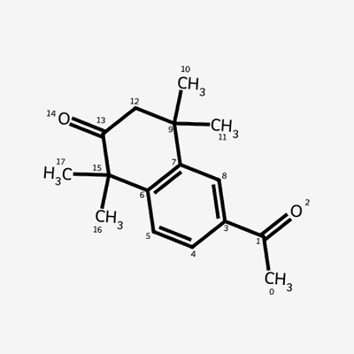 CC(=O)c1ccc2c(c1)C(C)(C)CC(=O)C2(C)C